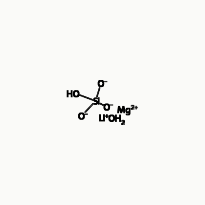 O.[Li+].[Mg+2].[O-][Si]([O-])([O-])O